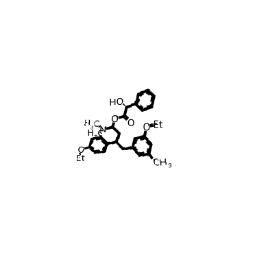 CCOc1ccc(C(Cc2cc(C)cc(OCC)c2)CC(OC(=O)[C@H](O)c2ccccc2)N(C)C)cc1